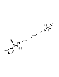 Cc1cc(N(C#N)C(=N)NCCCCCCCCCCNC(=O)OC(C)(C)C)ccn1